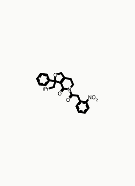 CC(C)CC1(c2ccccc2)OCC2=C1C(=O)N(C(=O)Cc1ccccc1[N+](=O)[O-])CC2